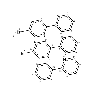 Brc1ccc(-c2ccccc2)nc1.Brc1ccc(-c2ccccc2)nc1.[Ir].c1ccc(-c2ccccn2)cc1